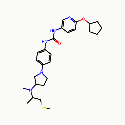 CSCC(C)N(C)C1CCN(c2ccc(NC(=O)Nc3ccc(OC4CCCC4)nc3)cc2)C1